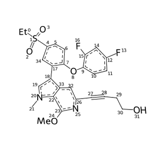 CCS(=O)(=O)c1ccc(Oc2ccc(F)cc2F)c(-c2cn(C)c3c(OC)nc(C#CCCO)cc23)c1